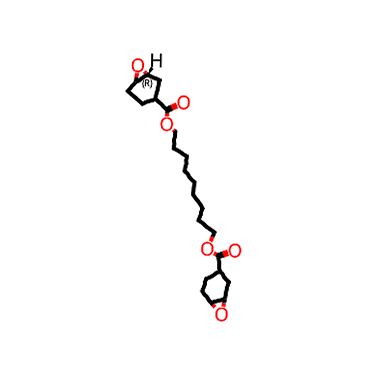 O=C(OCCCCCCCCCOC(=O)C1CCC2O[C@@H]2C1)C1CCC2OC2C1